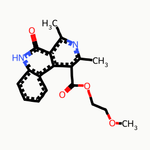 COCCOC(=O)c1c(C)nc(C)c2c(=O)[nH]c3ccccc3c12